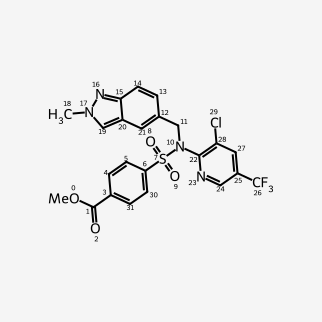 COC(=O)c1ccc(S(=O)(=O)N(Cc2ccc3nn(C)cc3c2)c2ncc(C(F)(F)F)cc2Cl)cc1